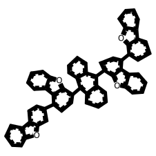 c1ccc2c(c1)oc1cc(-c3ccc(-c4c5ccccc5c(-c5ccc(-c6cccc7c6oc6ccccc67)c6c5oc5ccccc56)c5ccccc45)c4oc5ccccc5c34)ccc12